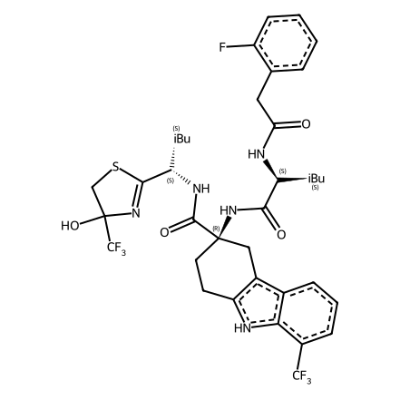 CC[C@H](C)[C@H](NC(=O)Cc1ccccc1F)C(=O)N[C@]1(C(=O)N[C@H](C2=NC(O)(C(F)(F)F)CS2)[C@@H](C)CC)CCc2[nH]c3c(C(F)(F)F)cccc3c2C1